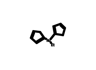 C[CH2][Ru]([C]1=CC=CC1)[C]1=CC=CC1